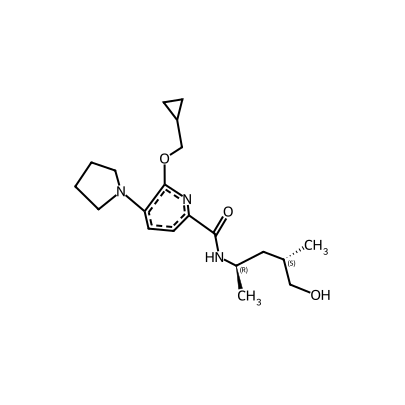 C[C@H](CO)C[C@@H](C)NC(=O)c1ccc(N2CCCC2)c(OCC2CC2)n1